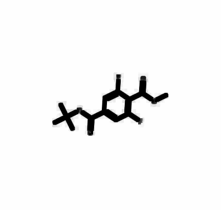 COC(=O)c1c(F)cc(C(=O)OC(C)(C)C)cc1F